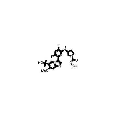 COc1cc2ncc(-c3nc(NC4CCN(C(=O)OC(C)(C)C)C4)c(F)cc3F)n2cc1C(C)(C)O